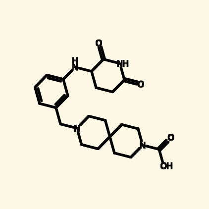 O=C1CCC(Nc2cccc(CN3CCC4(CC3)CCN(C(=O)O)CC4)c2)C(=O)N1